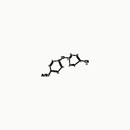 CC(=O)Nc1ccc(Oc2ccc(C#N)cc2)cc1